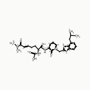 CC(C)Cc1cccc2nc(Cn3cccc(NC(=O)C(CC/C=C/C(=O)N(C)C)NC(=O)O)c3=O)sc12